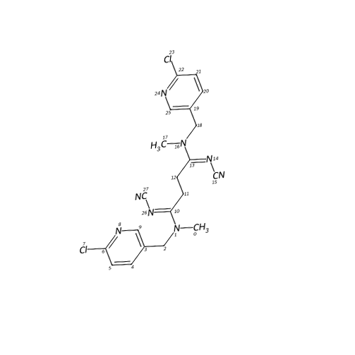 CN(Cc1ccc(Cl)nc1)/C(CC/C(=N\C#N)N(C)Cc1ccc(Cl)nc1)=N/C#N